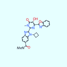 CNC(=O)c1ccc2nc(-c3nc(-c4nc5ccccc5o4)c(O)c(=O)n3C)n(C3CCC3)c2c1